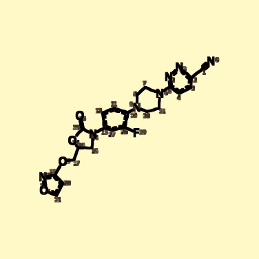 N#Cc1ccc(N2CCN(c3ccc(N4CC(COc5ccon5)OC4=O)cc3F)CC2)nn1